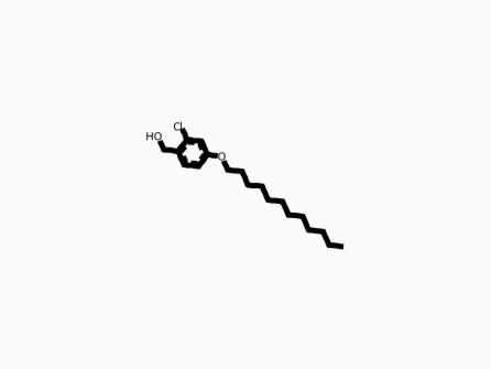 CCCCCCCCCCCCOc1ccc(CO)c(Cl)c1